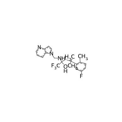 Cc1ccc(F)cc1C(C)(C)CC(O)(NCn1ccc2ncccc21)C(F)(F)F